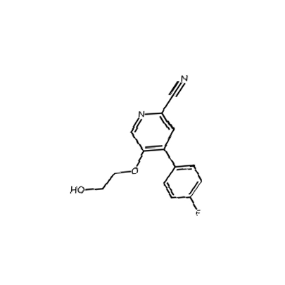 N#Cc1cc(-c2ccc(F)cc2)c(OCCO)cn1